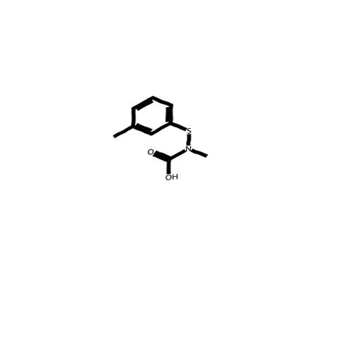 Cc1cccc(SN(C)C(=O)O)c1